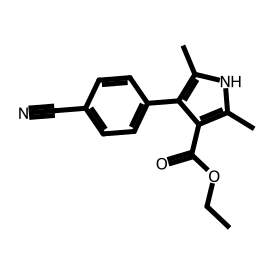 CCOC(=O)c1c(C)[nH]c(C)c1-c1ccc(C#N)cc1